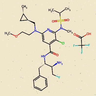 COCCN(C[C@H]1C[C@@H]1C)c1cc(C(=O)N[C@@H](Cc2ccccc2)[C@@H](N)CF)c(Cl)c(N(C)S(=O)(=O)C(C)C)n1.O=C(O)C(F)(F)F